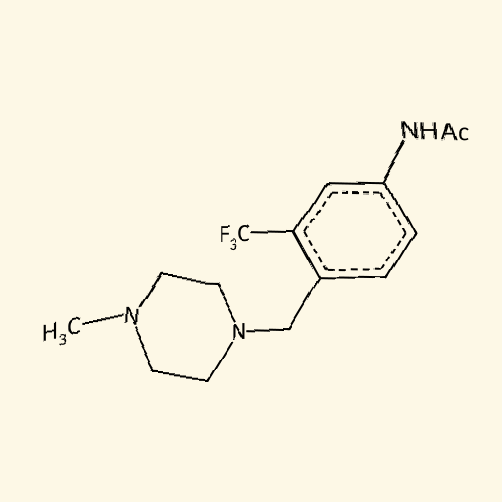 CC(=O)Nc1ccc(CN2CCN(C)CC2)c(C(F)(F)F)c1